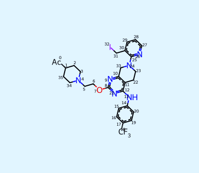 CC(=O)C1CCN(CCOc2nc3c(c(Nc4ccc(C(F)(F)F)cc4)n2)CCN(c2ncccc2CI)C3)CC1